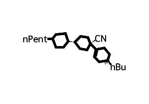 CCCCCC1CCC([C@H]2CC[C@](C#N)(C3=CC[C@H](CCCC)CC3)CC2)CC1